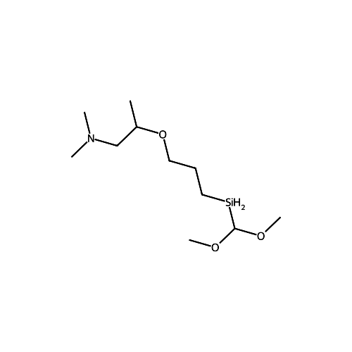 COC(OC)[SiH2]CCCOC(C)CN(C)C